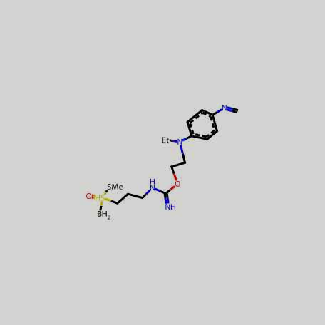 B[SH](=O)(CCCNC(=N)OCCN(CC)c1ccc(N=C)cc1)SC